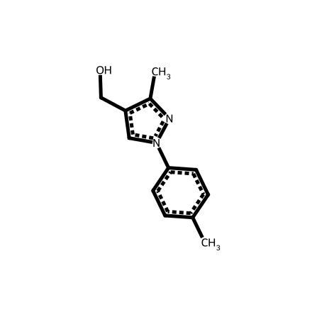 Cc1ccc(-n2cc(CO)c(C)n2)cc1